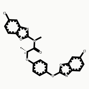 C[C@@H](Oc1ccc(Oc2nc3ccc(Cl)cc3o2)cc1)C(=O)N(C)c1nc2cc(Cl)ccc2o1